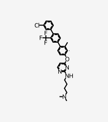 Cc1[c]c(Oc2ccnc(NCCCCN(C)C)n2)ccc1-c1ccc(-c2cccc(Cl)c2)c(C(F)(F)F)c1